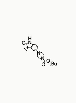 CC(C)(C)OC(=O)N1CCN(c2ccc3c(c2)C2(CC2)C(=O)N3)CC1